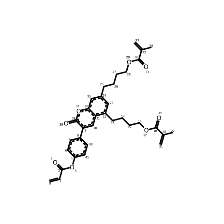 C=CC(=O)Oc1ccc(-c2cc3c(CCCCOC(=O)C(=C)C)cc(CCCCOC(=O)C(=C)C)cc3oc2=O)cc1